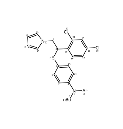 CCCCN(C(C)=O)c1ccc(SC(Cn2ccnc2)c2ccc(Cl)cc2Cl)cc1